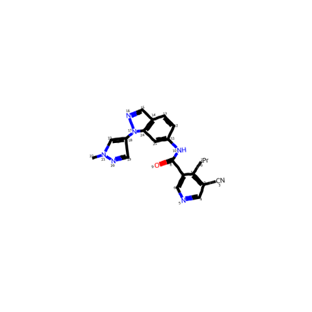 CC(C)c1c(C#N)cncc1C(=O)Nc1ccc2cnn(-c3cnn(C)c3)c2c1